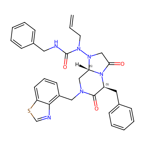 C=CCN(C(=O)NCc1ccccc1)N1CC(=O)N2[C@@H](Cc3ccccc3)C(=O)N(Cc3cccc4scnc34)C[C@@H]21